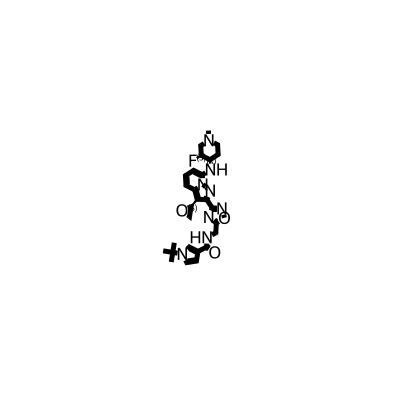 CN1CC[C@@H](Nc2cccc3c([C@H]4CO4)c(-c4noc(CNC(=O)c5ccn(C(C)(C)C)c5)n4)nn23)[C@@H](F)C1